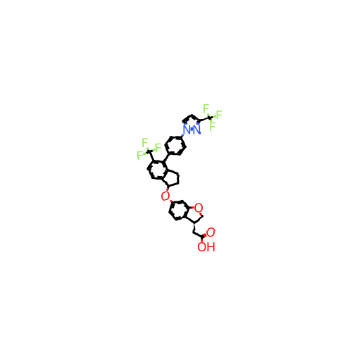 O=C(O)C[C@@H]1COc2cc(OC3CCc4c3ccc(C(F)(F)F)c4-c3ccc(-n4ccc(C(F)(F)F)n4)cc3)ccc21